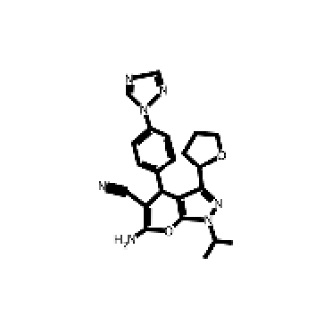 CC(C)n1nc(C2CCCO2)c2c1OC(N)=C(C#N)C2c1ccc(-n2cncn2)cc1